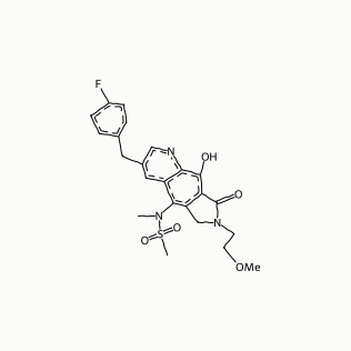 COCCN1Cc2c(c(O)c3ncc(Cc4ccc(F)cc4)cc3c2N(C)S(C)(=O)=O)C1=O